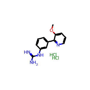 COc1cccnc1-c1cccc(NC(=N)N)c1.Cl.Cl